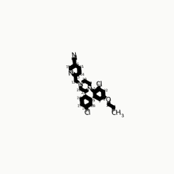 CCCOc1ccc(N2CCN(Cc3ccc(C#N)cn3)C[C@H]2c2ccc(Cl)cc2)c(Cl)c1